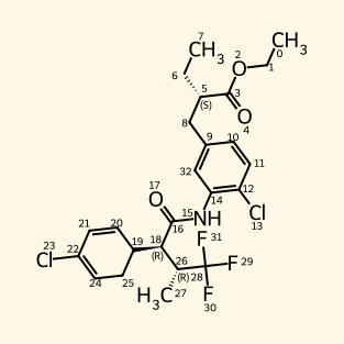 CCOC(=O)[C@@H](CC)Cc1ccc(Cl)c(NC(=O)[C@H](C2C=CC(Cl)=CC2)[C@@H](C)C(F)(F)F)c1